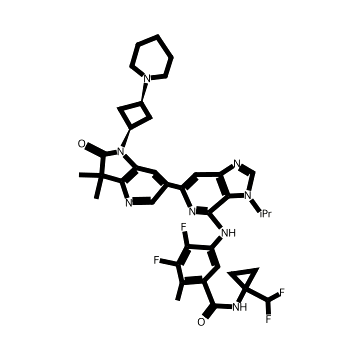 Cc1c(C(=O)NC2(C(F)F)CC2)cc(Nc2nc(-c3cnc4c(c3)N([C@H]3C[C@@H](N5CCCCC5)C3)C(=O)C4(C)C)cc3ncn(C(C)C)c23)c(F)c1F